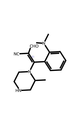 CC1CNCCN1/C(=C(\C#N)C=O)c1ccccc1N(C)C